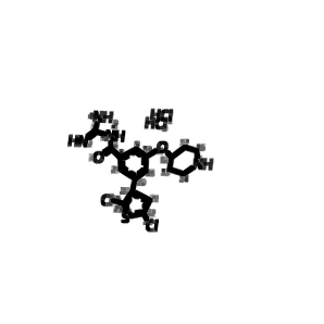 Cl.Cl.N=C(N)NC(=O)c1cc(OC2CCNCC2)cc(-c2cc(Cl)sc2Cl)c1